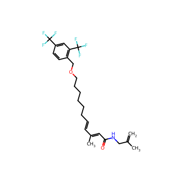 C=C(C)CNC(=O)C=C(C)C=CCCCCCCOCc1ccc(C(F)(F)F)cc1C(F)(F)F